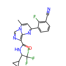 Cc1cc(-c2cccc(C#N)c2F)nc2c(C(=O)NC(C3CC3)C(F)(F)F)ncn12